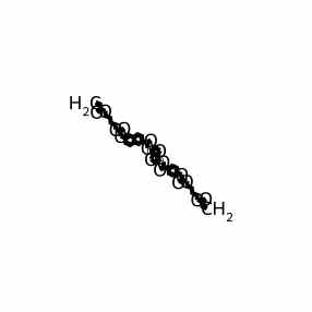 C=CC(=O)OCCCCOC(=O)Oc1ccc(C(=O)O[C@@H]2COC3C2OC[C@H]3OC(=O)c2ccc3cc(OC(=O)OCCCCOC(=O)C=C)ccc3c2)cc1